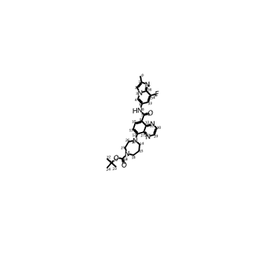 Cc1cn2cc(NC(=O)c3ccc(N4CCCN(C(=O)OC(C)(C)C)CC4)c4nccnc34)cc(F)c2n1